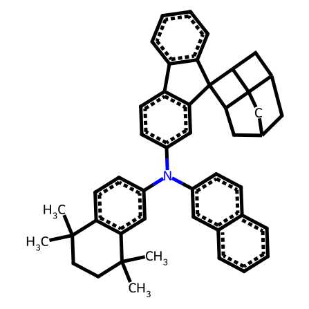 CC1(C)CCC(C)(C)c2cc(N(c3ccc4c(c3)C3(c5ccccc5-4)C4CC5CC6CC3C64C5)c3ccc4ccccc4c3)ccc21